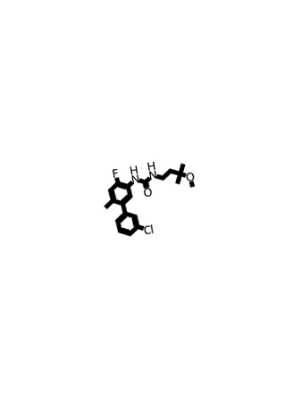 COC(C)(C)CCNC(=O)Nc1cc(-c2cccc(Cl)c2)c(C)cc1F